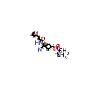 CCN(C)C(=O)OCC1CCc2c(sc(NC(=O)C=Cc3ccco3)c2C#N)C1